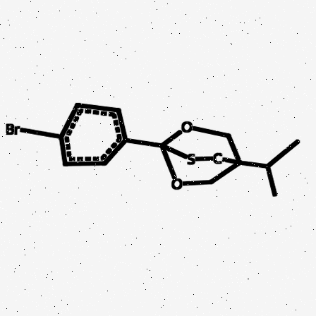 CC(C)C12COC(c3ccc(Br)cc3)(OC1)SC2